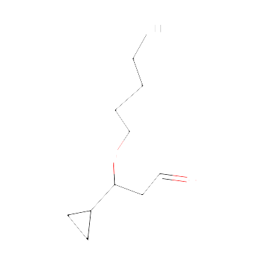 CCCCCOC(CC=O)C1CC1